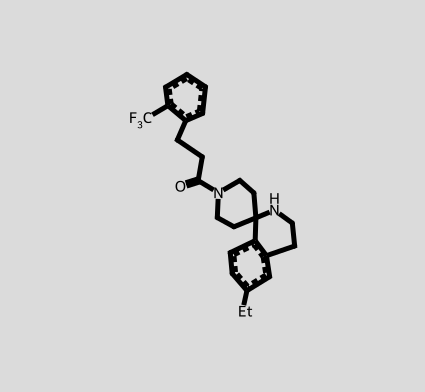 CCc1ccc2c(c1)CCNC21CCN(C(=O)CCc2ccccc2C(F)(F)F)CC1